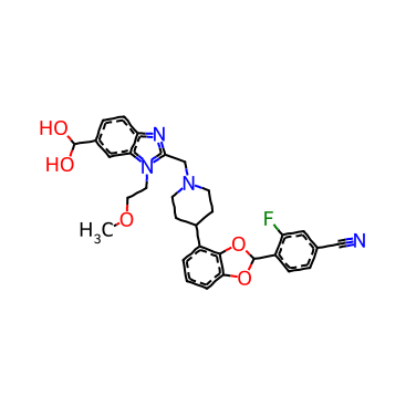 COCCn1c(CN2CCC(c3cccc4c3OC(c3ccc(C#N)cc3F)O4)CC2)nc2ccc(C(O)O)cc21